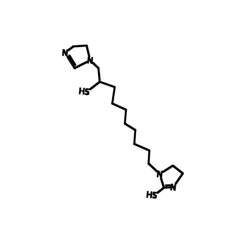 SC1=NCCN1CCCCCCCCC(S)CN1C=NCC1